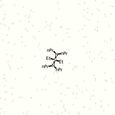 CCCN(CCC)[Si](CC)(CC)N(CCC)CCC